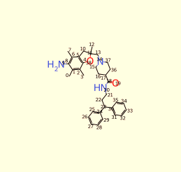 Cc1c(C)c2c(c(C)c1N)CC(C)(CN1CCC(C(=O)NCCC(c3ccccc3)c3ccccc3)CC1)O2